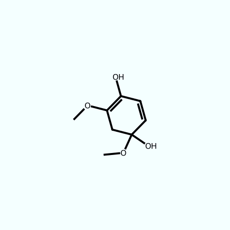 COC1=C(O)C=CC(O)(OC)C1